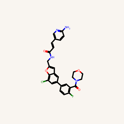 Nc1ccc(C=CC(=O)NCc2cc3cc(-c4ccc(F)c(C(=O)N5CCOCC5)c4)cc(Cl)c3o2)cn1